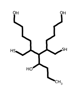 CCCC(O)C(C(CS)CCCCO)C(CS)CCCCO